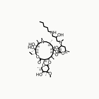 CCCCCNCC(O)CN(C)C1C[C@@H](C)O[C@@H](O[C@@H]2[C@@H](C)[C@H](O[C@H]3C[C@@](C)(OC)[C@@H](O)[C@H](C)O3)[C@@H](C)C(=O)O[C@H](CC)[C@@](C)(O)[C@H](O)[C@@H](C)N(C)C[C@H](C)C[C@@]2(C)O)[C@@H]1O